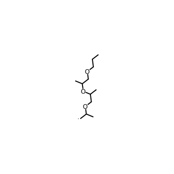 [CH2]C(C)OCC(C)OC(C)COCCC